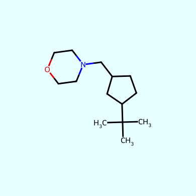 CC(C)(C)C1CCC(CN2CCOCC2)C1